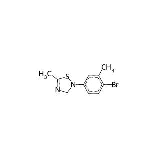 CC1=NCN(c2ccc(Br)c(C)c2)S1